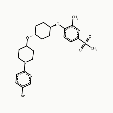 CC(=O)c1ccc(N2CCC(O[C@H]3CC[C@H](Oc4ccc(S(C)(=O)=O)nc4C)CC3)CC2)nc1